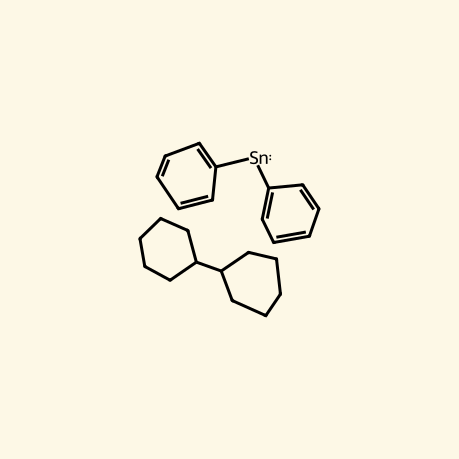 C1CCC(C2CCCCC2)CC1.c1cc[c]([Sn][c]2ccccc2)cc1